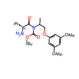 COc1cc(OC)cc(OCC(C)N(C(=O)OC(C)(C)C)C(=O)[C@@H](N)C(C)C)c1